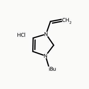 C=CN1C=CN(C(C)CC)C1.Cl